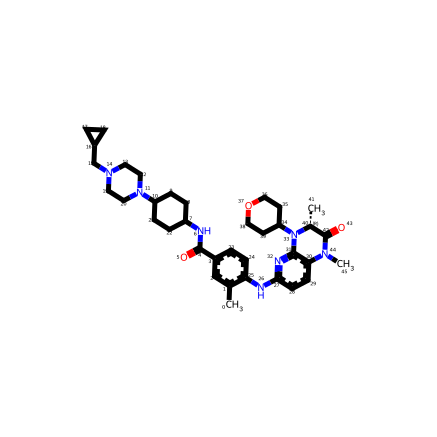 Cc1cc(C(=O)NC2CCC(N3CCN(CC4CC4)CC3)CC2)ccc1Nc1ccc2c(n1)N(C1CCOCC1)[C@H](C)C(=O)N2C